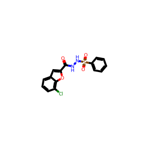 O=C(NNS(=O)(=O)c1ccccc1)c1cc2cccc(Cl)c2o1